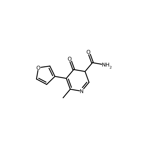 CC1=C(c2ccoc2)C(=O)C(C(N)=O)C=N1